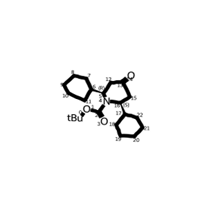 CC(C)(C)OC(=O)N1[C@@H](C2CCCCC2)CC(=O)C[C@H]1C1CCCCC1